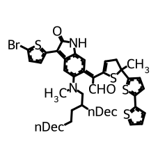 CCCCCCCCCCCCC(CCCCCCCCCC)CN(C)c1cc2c(c/c1=C(/C=O)C1=CCC(C)(c3ccc(-c4cccs4)s3)S1)NC(=O)C=2c1ccc(Br)s1